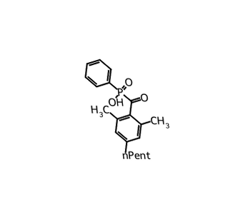 CCCCCc1cc(C)c(C(=O)P(=O)(O)c2ccccc2)c(C)c1